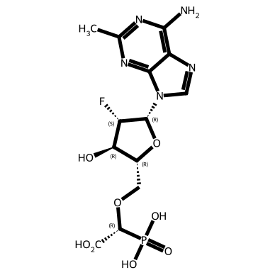 Cc1nc(N)c2ncn([C@@H]3O[C@H](CO[C@@H](C(=O)O)P(=O)(O)O)[C@@H](O)[C@@H]3F)c2n1